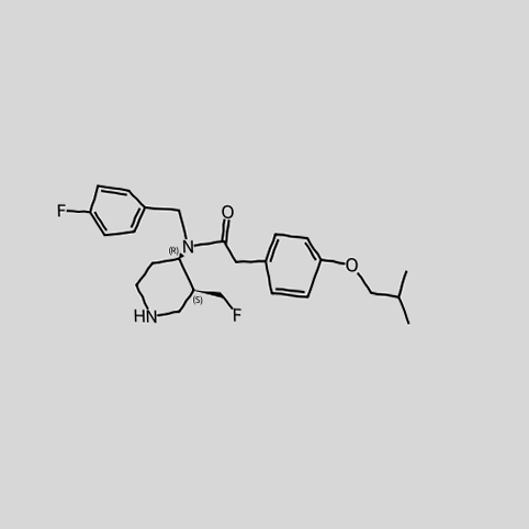 CC(C)COc1ccc(CC(=O)N(Cc2ccc(F)cc2)[C@@H]2CCNC[C@@H]2CF)cc1